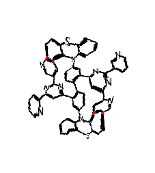 c1ccc(-c2cc(-c3cc(N4c5ccccc5Sc5ccccc54)ccc3-c3ccc(N4c5ccccc5Sc5ccccc54)cc3-c3cc(-c4ccccn4)nc(-c4cccnc4)n3)nc(-c3cccnc3)n2)nc1